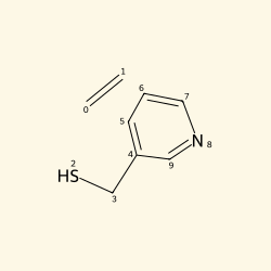 C=C.SCc1cccnc1